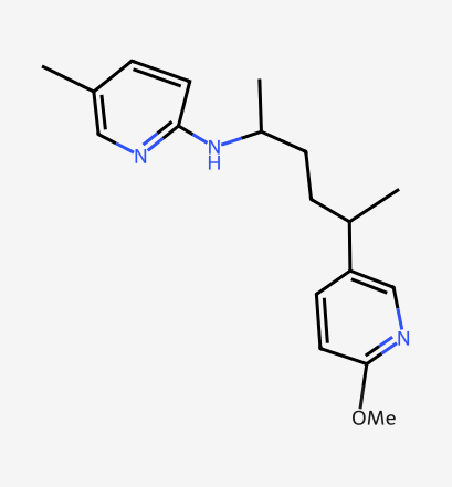 COc1ccc(C(C)CCC(C)Nc2ccc(C)cn2)cn1